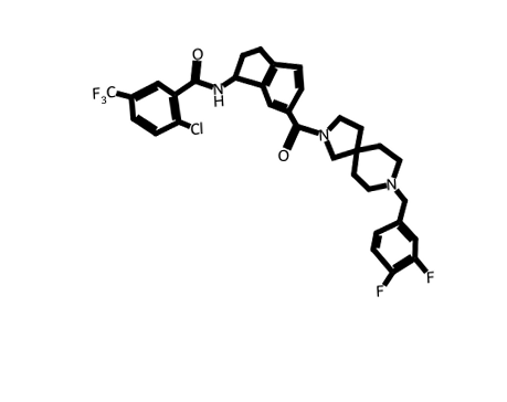 O=C(NC1CCc2ccc(C(=O)N3CCC4(CCN(Cc5ccc(F)c(F)c5)CC4)C3)cc21)c1cc(C(F)(F)F)ccc1Cl